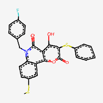 CSc1ccc2c(c1)c1oc(=O)c(Sc3ccccc3)c(O)c1c(=O)n2Cc1ccc(F)cc1